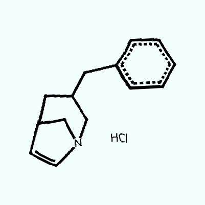 C1=CN2CC1CC(Cc1ccccc1)C2.Cl